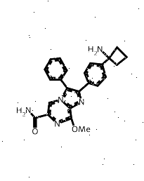 COc1nc(C(N)=O)cn2c(-c3ccccc3)c(-c3ccc(C4(N)CCC4)cc3)nc12